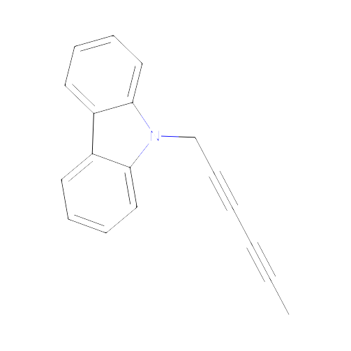 CC#CC#CCn1c2ccccc2c2ccccc21